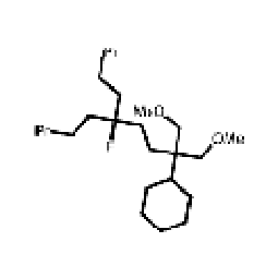 COCC(CCC(F)(CCC(C)C)CCC(C)C)(COC)C1CCCCC1